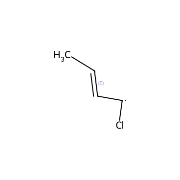 C/C=C/[CH]Cl